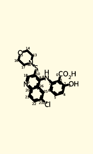 O=C(O)c1c(O)cccc1Nc1c(SN2CCOCC2)cnc2ccc(Cl)cc12